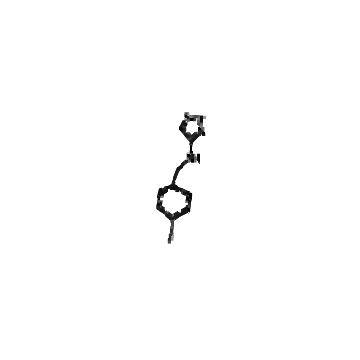 Fc1ccc(CNc2cs[c]n2)cc1